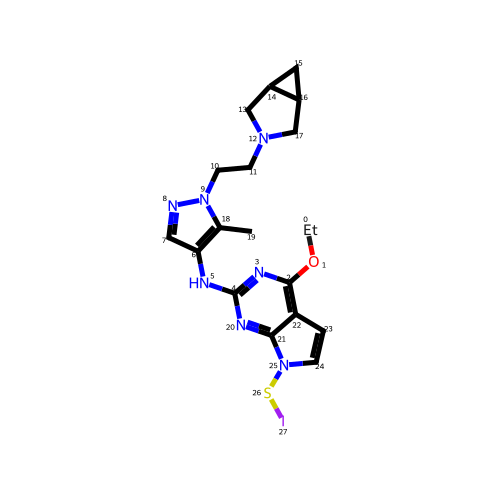 CCOc1nc(Nc2cnn(CCN3CC4CC4C3)c2C)nc2c1ccn2SI